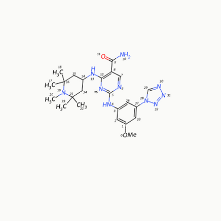 COc1cc(Nc2ncc(C(N)=O)c(NC3CC(C)(C)N(C)C(C)(C)C3)n2)cc(-n2cnnn2)c1